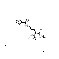 NC(=O)C(CCCNC(=O)C1COC1)NC=O